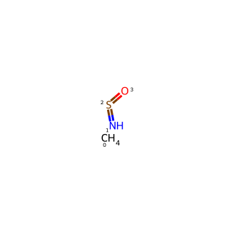 C.N=S=O